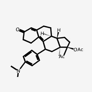 CC(=O)O[C@]1(C(C)=O)CC[C@H]2[C@@H]3CCC4=CC(=O)CCC4=C3C(c3ccc(N(C)C)cc3)C[C@@]21C